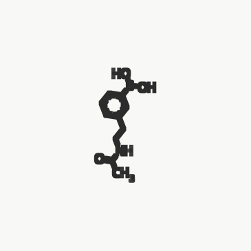 CC(=O)NCCc1cccc(B(O)O)c1